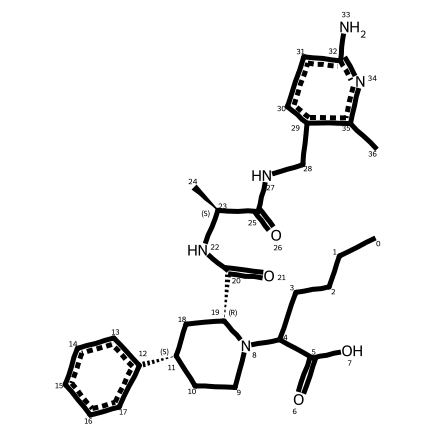 CCCCC(C(=O)O)N1CC[C@H](c2ccccc2)C[C@@H]1C(=O)N[C@@H](C)C(=O)NCc1ccc(N)nc1C